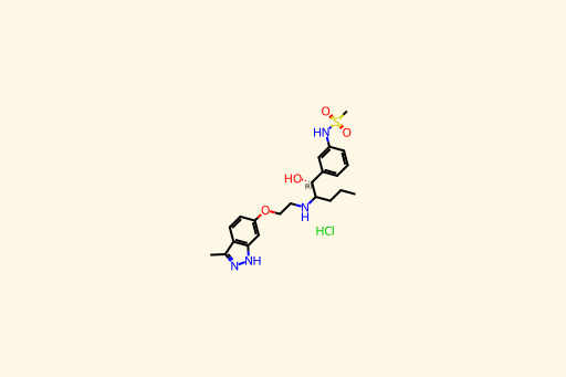 CCCC(NCCOc1ccc2c(C)n[nH]c2c1)[C@H](O)c1cccc(NS(C)(=O)=O)c1.Cl